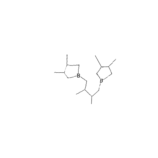 CC1CB(CC(C)C(C)CB2CC(C)C(C)C2)CC1C